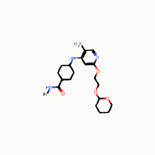 CC(C)NC(=O)C1CCC(Nc2cc(OCCOC3CCCCO3)ncc2[N+](=O)[O-])CC1